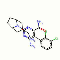 NCC1CC2CCC(C1)N2c1nc(N)c(-c2cccc(Cl)c2Cl)c(C(N)=O)n1